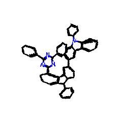 c1ccc(-c2nc(-c3ccccc3)nc(-c3cccc4c3-c3cc(-c5ccc6c(c5)c5ccccc5n6-c5ccccc5)ccc3C4c3ccccc3)n2)cc1